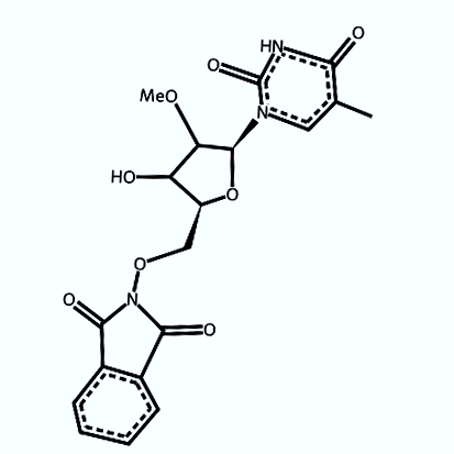 COC1C(O)[C@H](CON2C(=O)c3ccccc3C2=O)O[C@@H]1n1cc(C)c(=O)[nH]c1=O